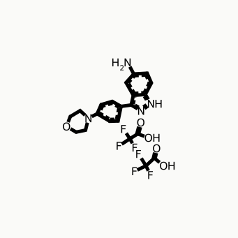 Nc1ccc2[nH]nc(-c3ccc(N4CCOCC4)cc3)c2c1.O=C(O)C(F)(F)F.O=C(O)C(F)(F)F